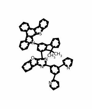 CC1(C)c2ccccc2-c2cc(-n3c4ccccc4c4c5ccccc5c5c6ccccc6sc5c43)cc(-c3nc(-c4cc(-c5ccccn5)cc(-c5ccccn5)c4)nc4c3oc3ccccc34)c21